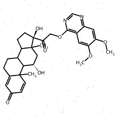 COc1cc2ncnc(OCC(=O)[C@@]3(O)CCC4C5CCC6=CC(=O)C=CC6(C)C5[C@@H](O)CC43C)c2cc1OC